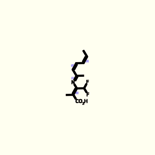 C\C=C/C=C\C(C)=N\C(=C(/C)C(=O)O)C(F)F